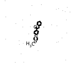 CCN1CCN(c2ccc(C(=O)Cc3ccccc3)cc2)CC1